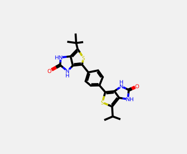 CC(C)c1sc(-c2ccc(-c3sc(C(C)(C)C)c4[nH]c(=O)[nH]c34)cc2)c2[nH]c(=O)[nH]c12